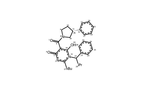 CCCCc1nc(=O)c(C(=O)N2CC[C@H](c3ccccc3)C2)c(O)n1C(c1ccccc1)C(C)C